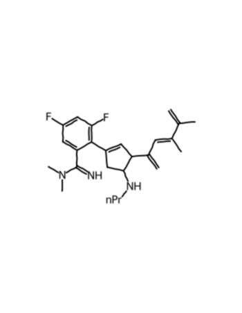 C=C(C)/C(C)=C/C(=C)C1C=C(c2c(F)cc(F)cc2C(=N)N(C)C)CC1NCCC